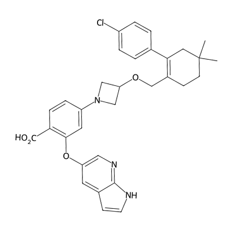 CC1(C)CCC(COC2CN(c3ccc(C(=O)O)c(Oc4cnc5[nH]ccc5c4)c3)C2)=C(c2ccc(Cl)cc2)C1